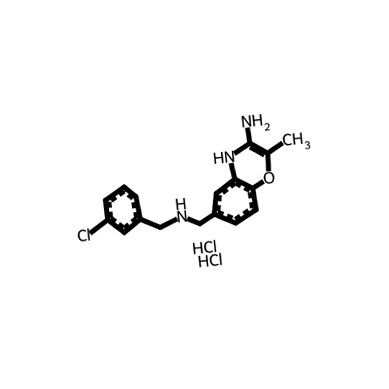 CC1=C(N)Nc2cc(CNCc3cccc(Cl)c3)ccc2O1.Cl.Cl